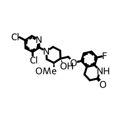 CO[C@H]1CN(c2ncc(Cl)cc2Cl)CC[C@@]1(O)COc1ccc(F)c2c1CCC(=O)N2